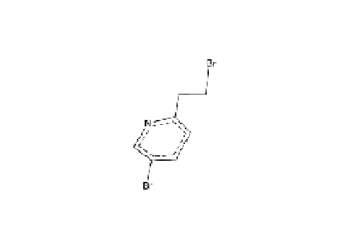 BrCCc1ccc(Br)cn1